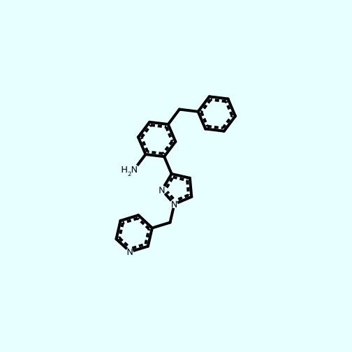 Nc1ccc(Cc2ccccc2)cc1-c1ccn(Cc2cccnc2)n1